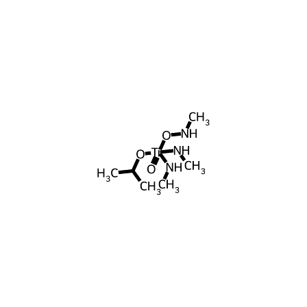 CN[O][Ti](=[O])([NH]C)([NH]C)[O]C(C)C